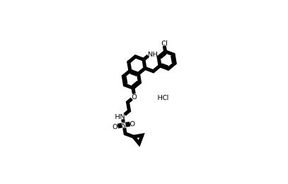 Cl.NC1CCc2ccc(OCCNS(=O)(=O)CC3CC3)cc2C1Cc1cccc(Cl)c1